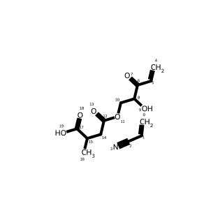 C=CC#N.C=CC(=O)C(O)COC(=O)CC(C)C(=O)O